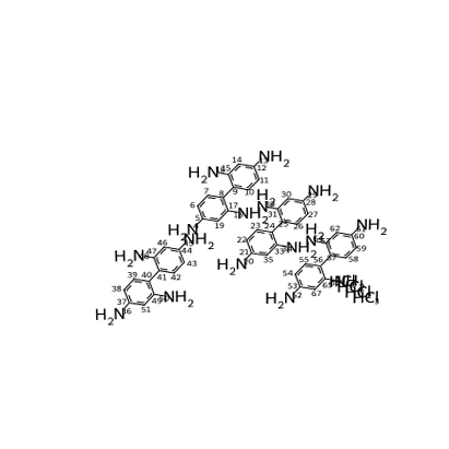 Cl.Cl.Cl.Cl.Nc1ccc(-c2ccc(N)cc2N)c(N)c1.Nc1ccc(-c2ccc(N)cc2N)c(N)c1.Nc1ccc(-c2ccc(N)cc2N)c(N)c1.Nc1ccc(-c2ccc(N)cc2N)c(N)c1